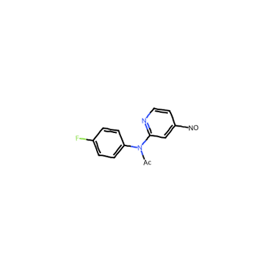 CC(=O)N(c1ccc(F)cc1)c1cc(N=O)ccn1